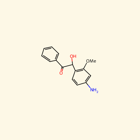 COc1cc(N)ccc1C(O)C(=O)c1ccccc1